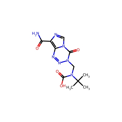 CC(C)(C)N(Cn1nnc2c(C(N)=O)ncn2c1=O)C(=O)O